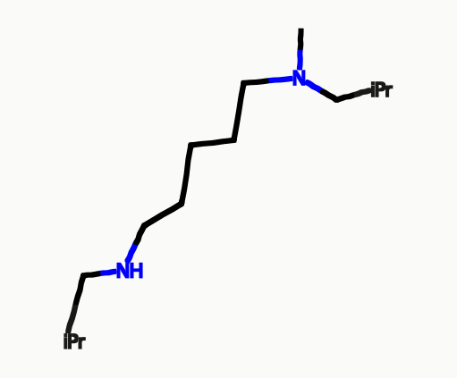 CC(C)CNCCCCCN(C)CC(C)C